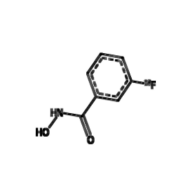 O=C(NO)c1cccc([18F])c1